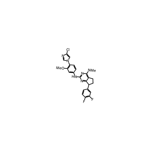 CNc1nc(Nc2ccc(-n3cnc(Cl)c3)c(OC)c2)nc2c1CCC2c1ccc(F)c(F)c1